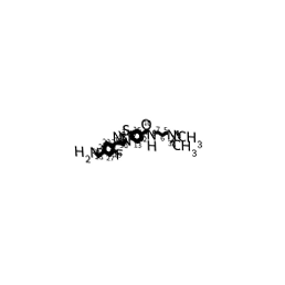 CCN(CC)CCCNC(=O)c1ccc2c(c1)sc1nc(-c3ccc(CN)cc3F)cn12